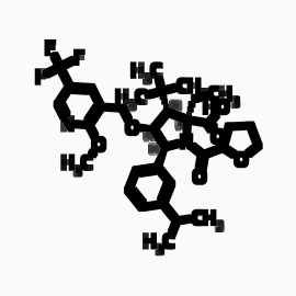 CC[C@@]1(C(=O)O)[C@@H](C(C)(C)C)[C@H](OCc2cc(C(F)(F)F)cnc2OC)[C@H](c2cccc(C(C)C)c2)N1C(=O)C1CCCO1